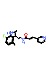 Cc1[nH]c2c(F)ccc(C)c2c1CCNC(=O)C=Cc1cccnc1